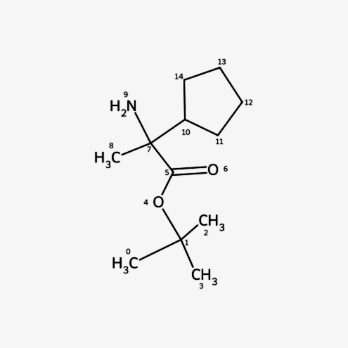 CC(C)(C)OC(=O)C(C)(N)C1CCCC1